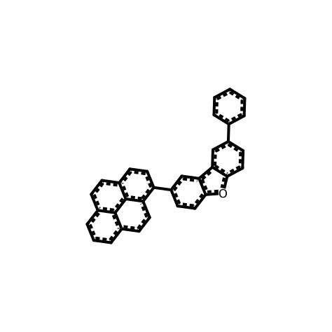 c1ccc(-c2ccc3oc4ccc(-c5ccc6ccc7cccc8ccc5c6c78)cc4c3c2)cc1